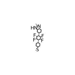 CSc1ccc(-c2c(F)c(F)c(-c3ccc4nc(C)[nH]c4c3)c(F)c2F)cc1